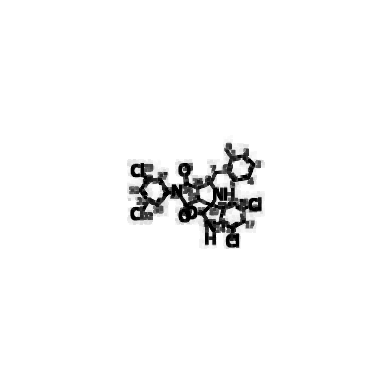 Cc1ccccc1CC1NC2(C(=O)Nc3c(Cl)cc(Cl)cc32)C2C(=O)N(c3cc(Cl)cc(Cl)c3)C(=O)C12